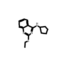 CCSc1nc(NC2CCCC2)c2ccccc2n1